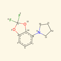 FC1(F)Oc2cccc(N3CCCC3)c2O1